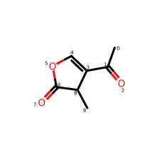 CC(=O)C1=COC(=O)C1C